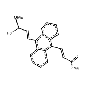 COC(=O)/C=C/c1c2ccccc2c(/C=C/C(O)OC)c2ccccc12